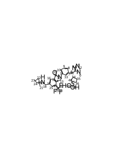 Cn1cnnc1[C@@H](c1cccc(N2Cc3c(cc(CNC4(C)CCC4)cc3C(F)(F)F)C2=O)c1)C1CCS(O)(O)C1